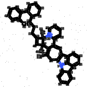 CCC1=C2C(=Cc3c(n4c5ccccc5c5cccc3c54)C1)c1cccc[n+]1C1(CC)C(CCCC3CC=CC=C3c3ccccc3C)=CC21CC